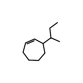 CC[C](C)C1C=CCCCC1